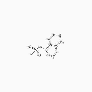 CS(=O)(=O)Oc1cc[c]c2ccccc12